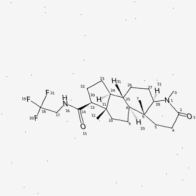 CN1C(=O)CC[C@]2(C)[C@H]3CC[C@]4(C)[C@@H](C(=O)NCC(F)(F)F)CC[C@H]4[C@@H]3CC[C@@H]12